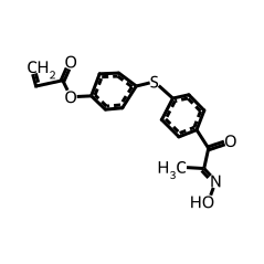 C=CC(=O)Oc1ccc(Sc2ccc(C(=O)/C(C)=N/O)cc2)cc1